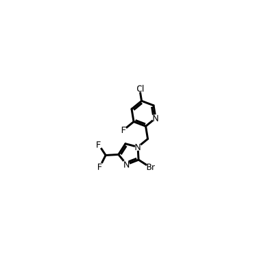 Fc1cc(Cl)cnc1Cn1cc(C(F)F)nc1Br